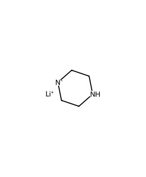 C1CNCC[N-]1.[Li+]